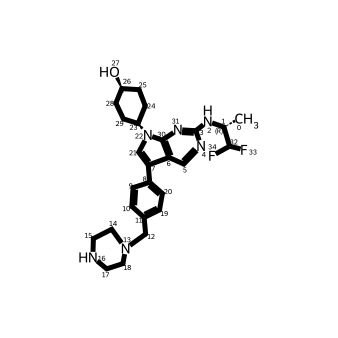 C[C@@H](Nc1ncc2c(-c3ccc(CN4CCNCC4)cc3)cn([C@H]3CC[C@H](O)CC3)c2n1)C(F)F